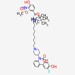 CC(C)(C)[Si](C)(C)O[C@H](CNCCCCCCCCCN1CCC(N(C(=O)O)c2ccccc2-c2ccc(O)c(F)c2)CC1)c1ccc(O)c(NS(C)(=O)=O)c1